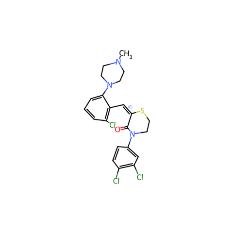 CN1CCN(c2cccc(Cl)c2/C=C2/SCCN(c3ccc(Cl)c(Cl)c3)C2=O)CC1